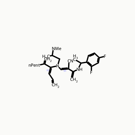 C=C/C=C(/C(=C)CCCCC)N(/C=C(\C#N)C(=C)NC(C)c1ccc(F)cc1F)CC(C)NC